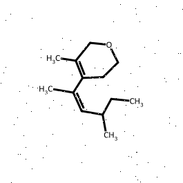 CCC(C)/C=C(/C)C1=C(C)COCC1